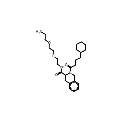 NCCOCCOCCNC(=O)C1Cc2ccccc2CN1C(=O)CCCC1CCCCC1